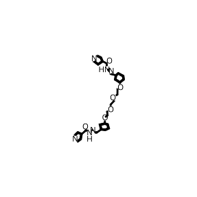 O=C(NN=Cc1cccc(OCCOCCOCCOc2cccc(C=NNC(=O)c3ccncc3)c2)c1)c1ccncc1